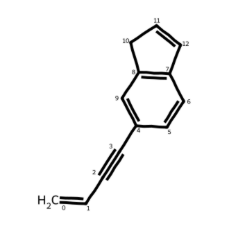 C=CC#Cc1ccc2c(c1)CC=C2